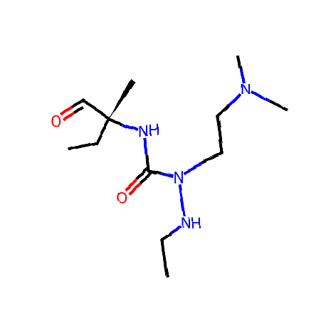 CCNN(CCN(C)C)C(=O)N[C@@](C)(C=O)CC